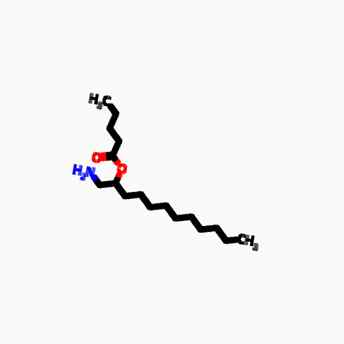 CCCCCCCCCCC(CN)OC(=O)CCCC